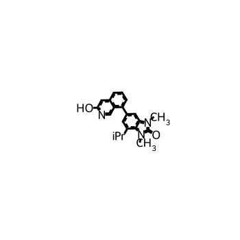 CC(C)c1cc(-c2cccc3cc(O)ncc23)cc2c1n(C)c(=O)n2C